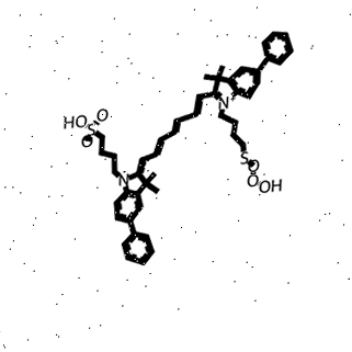 CC1(C)C(/C=C/C=C/C=C/C=C2/N(CCCCS(=O)(=O)O)c3ccc(-c4ccccc4)cc3C2(C)C)=[N+](CCCCSOOO)c2ccc(-c3ccccc3)cc21